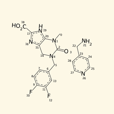 CN1C(=O)N(Cc2ccc(F)c(F)c2)Cc2nc(C(=O)O)[nH]c21.NCc1ccncc1